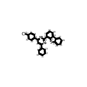 Clc1ccc(-c2cc(-c3ccccc3)nc(-c3cccc4c3sc3ccccc34)n2)cc1